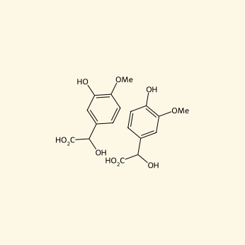 COc1cc(C(O)C(=O)O)ccc1O.COc1ccc(C(O)C(=O)O)cc1O